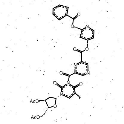 CC(=O)OC[C@H]1O[C@@H](n2cc(F)c(=O)n(C(=O)c3cncc(C(=O)Oc4ccnc(OC(=O)c5ccccc5)c4)n3)c2=O)C[C@@H]1OC(C)=O